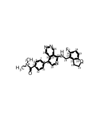 CN(C)C(=O)c1ccc(-c2cnc(NCc3c(F)ccc4c3CCO4)c3cnncc23)cc1